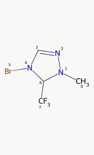 CN1N=CN(Br)C1C(F)(F)F